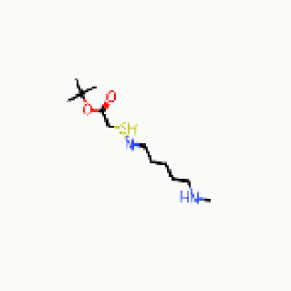 CNCCCCC/N=[SH]/CC(=O)OC(C)(C)C